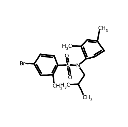 Cc1ccc(N(CC(C)C)S(=O)(=O)c2ccc(Br)cc2C)c(C)c1